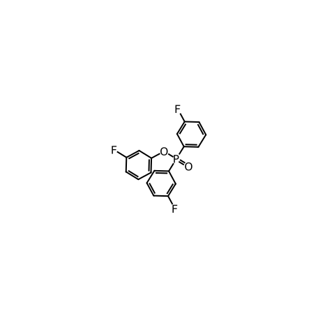 O=P(Oc1cccc(F)c1)(c1cccc(F)c1)c1cccc(F)c1